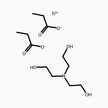 CCC(=O)[O-].CCC(=O)[O-].OCCN(CCO)CCO.[Ti+2]